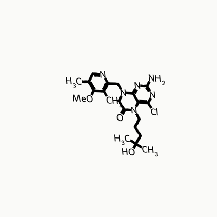 COc1c(C)cnc(CN2CC(=O)N(CCCC(C)(C)O)c3c(Cl)nc(N)nc32)c1C